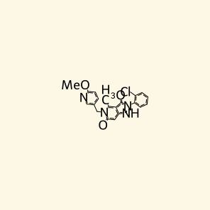 COc1ccc(Cn2c(C)c3c(=O)n(-c4ccccc4Cl)[nH]c3cc2=O)cn1